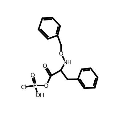 O=C(OP(=O)(O)Cl)C(Cc1ccccc1)NOCc1ccccc1